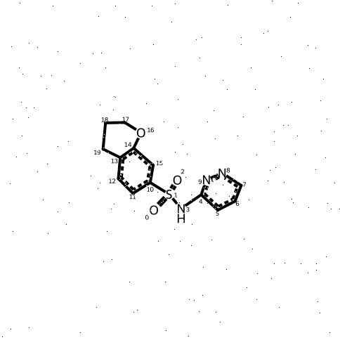 O=S(=O)(Nc1cccnn1)c1ccc2c(c1)OCCC2